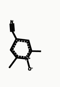 Cc1cc(C#N)cc(C)[n+]1[O-]